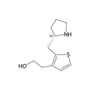 OCCc1ccsc1C[C@@H]1CCCN1